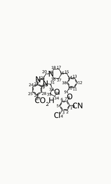 N#Cc1cc(Cl)ccc1OCc1cccc(CC2CCN(Cc3nc4ccc(C(=O)O)cc4n3C[C@@H]3CCO3)CC2)c1